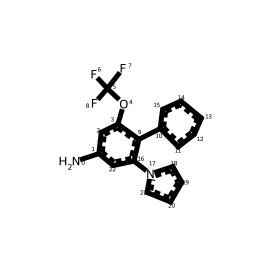 Nc1cc(OC(F)(F)F)c(-c2ccccc2)c(-n2cccc2)c1